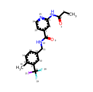 CCC(=O)Nc1cc(C(=O)NCc2ccc(C)c(C(F)(F)I)c2)ccn1